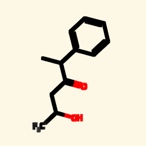 CC(C(=O)CC(O)C(F)(F)F)c1ccccc1